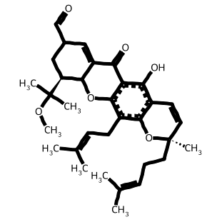 COC(C)(C)[C@H]1CC(C=O)C=C2C(=O)c3c(O)c4c(c(CC=C(C)C)c3OC21)O[C@](C)(CCC=C(C)C)C=C4